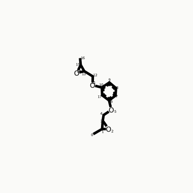 CC1OC1COc1cccc(OCC2OC2C)c1